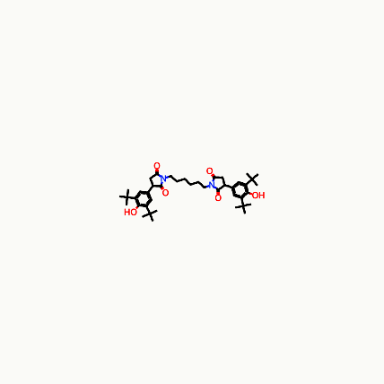 CC(C)(C)c1cc(C2CC(=O)N(CCCCCCN3C(=O)CC(c4cc(C(C)(C)C)c(O)c(C(C)(C)C)c4)C3=O)C2=O)cc(C(C)(C)C)c1O